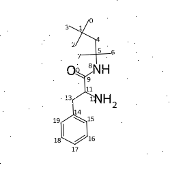 CC(C)(C)CC(C)(C)NC(=O)C(N)Cc1ccccc1